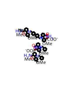 COc1cc(C(=O)C(=O)[O-])c2c3c(C(N)=O)cccc3n(Cc3ccccc3)c2c1.COc1cc(C(=O)C(=O)[O-])c2c3c(n(Cc4ccccc4)c2c1)CCCC3C(N)=O.COc1cc(OC)c2c3c(n(Cc4ccccc4)c2c1)CCCC3C(N)=O.COc1cc(OC)c2c3c(n(Cc4ccccc4)c2c1)CCCC3C(N)=O.[Na+].[Na+]